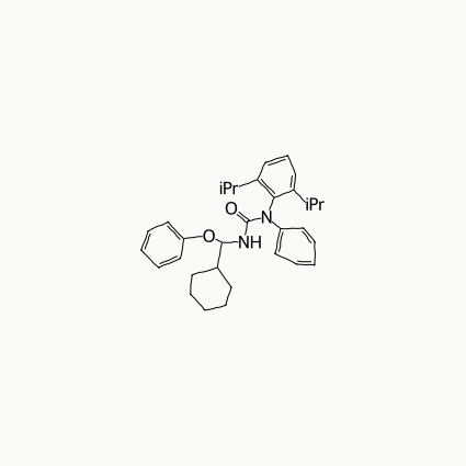 CC(C)c1cccc(C(C)C)c1N(C(=O)NC(Oc1ccccc1)C1CCCCC1)c1ccccc1